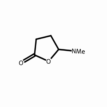 CNC1CCC(=O)O1